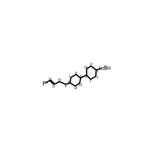 CCCCC1CCC(C2CCC(CC/C=C/F)CC2)CC1